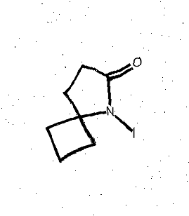 O=C1CCC2(CCC2)N1I